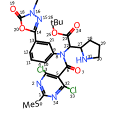 CSc1nc(Cl)c(C(=O)N(c2cccc(-c3nn(C)c(=O)o3)c2)C(C(=O)OC(C)(C)C)C2CCCN2)c(Cl)n1